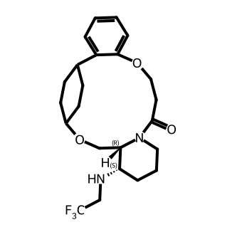 O=C1CCOc2ccccc2C2CCC(CC2)OC[C@H]2[C@@H](NCC(F)(F)F)CCCN12